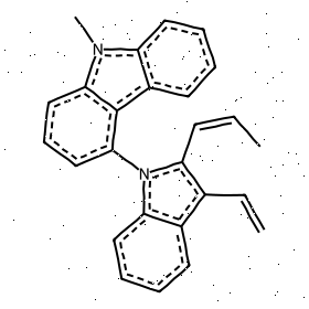 C=Cc1c(/C=C\C)n(-c2cccc3c2c2ccccc2n3C)c2ccccc12